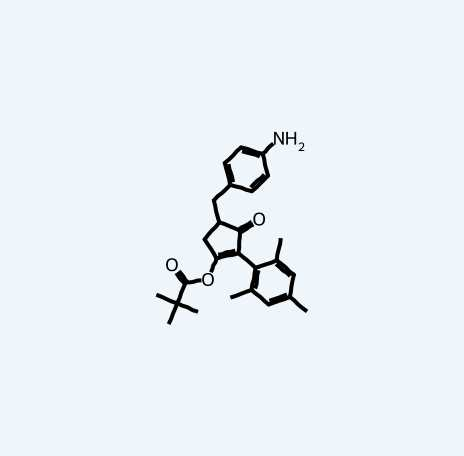 Cc1cc(C)c(C2=C(OC(=O)C(C)(C)C)CC(Cc3ccc(N)cc3)C2=O)c(C)c1